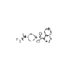 CN(N)C1CCN(S(=O)(=O)c2cccc3cnccc23)CC1